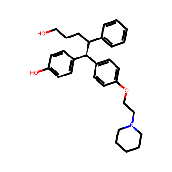 OCCCC(c1ccccc1)[C@H](c1ccc(O)cc1)c1ccc(OCCN2CCCCC2)cc1